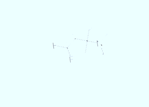 CN(C)C(C)(C)CC(F)F